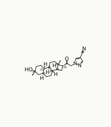 C[C@@]1(O)CC[C@H]2[C@@H](CC[C@@H]3[C@@H]2CC[C@]2(C)[C@@H](C(=O)Cn4cc(C#N)cn4)C[C@@H]32)C1